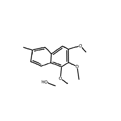 CO.COc1cc2cc(C)ccc2c(OC)c1OC